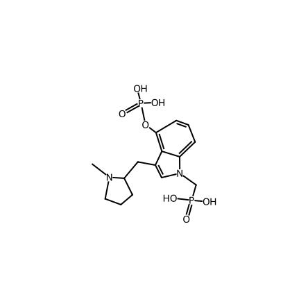 CN1CCCC1Cc1cn(CP(=O)(O)O)c2cccc(OP(=O)(O)O)c12